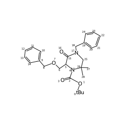 CC(C)(C)OC(=O)N1C(COCc2ccccc2)C(=O)N(Cc2ccccc2)CC1(C)C